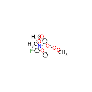 COCOCCOc1ccc(OC)cc1CN(C(C)=O)c1cc(F)ccc1Oc1ccccc1